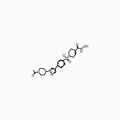 CC(=O)N1CCC(n2cc(-c3ccc(S(=O)(=O)N4CC=C(C(=O)NO)CC4)cc3)cn2)CC1